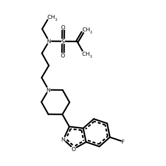 C=C(C)S(=O)(=O)N(CC)CCCN1CCC(c2noc3cc(F)ccc23)CC1